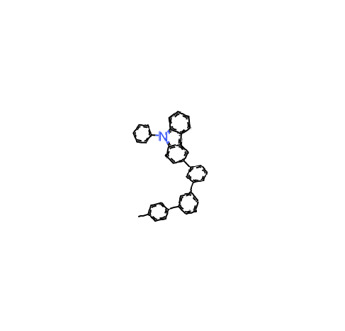 Cc1ccc(-c2cccc(-c3cccc(-c4ccc5c(c4)c4ccccc4n5-c4ccccc4)c3)c2)cc1